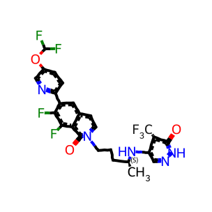 C[C@@H](CCCn1ccc2cc(-c3ccc(OC(F)F)cn3)c(F)c(F)c2c1=O)Nc1cn[nH]c(=O)c1C(F)(F)F